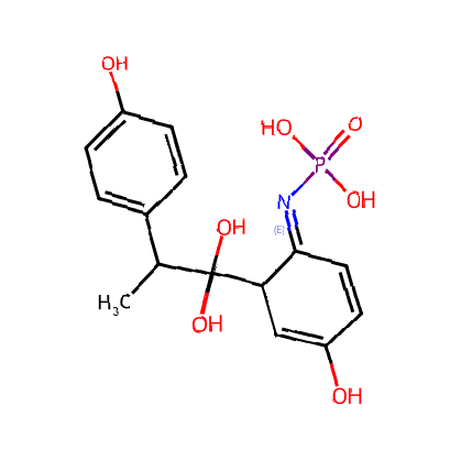 CC(c1ccc(O)cc1)C(O)(O)C1C=C(O)C=C/C1=N\P(=O)(O)O